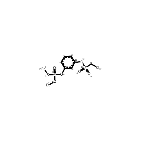 CCCSP(=O)(OCC)Oc1cccc(OS(=O)(=O)CCl)c1